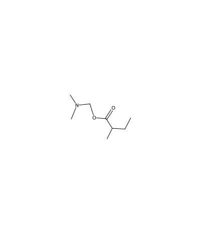 CCC(C)C(=O)OCN(C)C